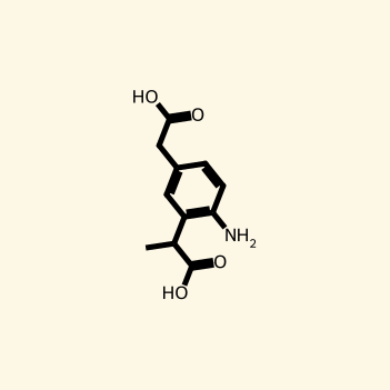 CC(C(=O)O)c1cc(CC(=O)O)ccc1N